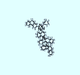 c1ccc(-c2nc(-c3ccc4c(ccc5ccccc54)c3)nc(-c3ccc(-n4c5ccccc5c5c(-n6c7ccccc7c7c8ccccc8ccc76)c6ccccc6cc54)c4ccccc34)n2)cc1